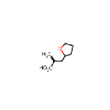 C=C(CC1CCCO1)C(=O)O